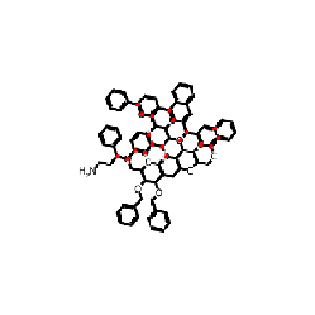 NCCCCCOC1OC(COCc2ccccc2)C(OCc2ccccc2)C(OCc2ccccc2)C1OC1OC(COCc2ccccc2)C(OCc2ccccc2)C(OCc2ccccc2)C1CC1OC2COC(c3ccccc3)OC2C(OCc2ccc3ccccc3c2)C1OCc1ccccc1